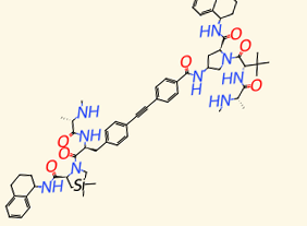 CN[C@@H](C)C(=O)N[C@@H](Cc1ccc(C#Cc2ccc(C(=O)N[C@H]3C[C@@H](C(=O)N[C@@H]4CCCc5ccccc54)N(C(=O)[C@@H](NC(=O)[C@H](C)NC)C(C)(C)C)C3)cc2)cc1)C(=O)N1C[Si](C)(C)C[C@H]1C(=O)N[C@@H]1CCCc2ccccc21